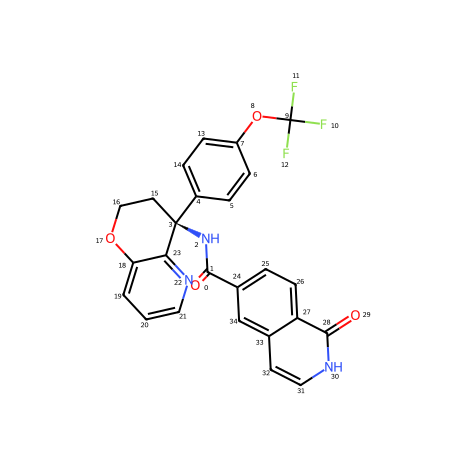 O=C(N[C@]1(c2ccc(OC(F)(F)F)cc2)CCOc2cccnc21)c1ccc2c(=O)[nH]ccc2c1